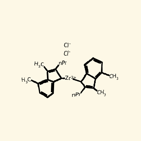 CCCC1=C(C)c2c(C)cccc2[CH]1[Zr+2][CH]1C(CCC)=C(C)c2c(C)cccc21.[Cl-].[Cl-]